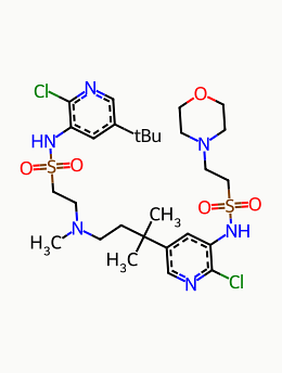 CN(CCC(C)(C)c1cnc(Cl)c(NS(=O)(=O)CCN2CCOCC2)c1)CCS(=O)(=O)Nc1cc(C(C)(C)C)cnc1Cl